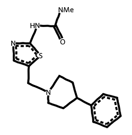 CNC(=O)Nc1ncc(CN2CCC(c3ccccc3)CC2)s1